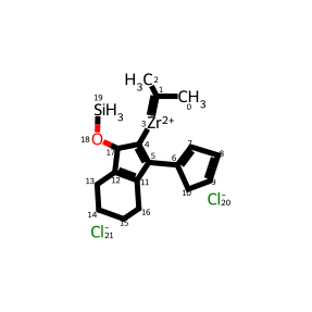 C[C](C)=[Zr+2][C]1=C(C2=CC=CC2)C2=C(CCCC2)C1O[SiH3].[Cl-].[Cl-]